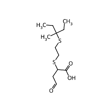 CCC(C)(CC)SCCSC(CC=O)C(=O)O